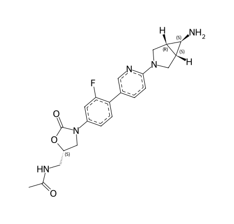 CC(=O)NC[C@H]1CN(c2ccc(-c3ccc(N4C[C@@H]5[C@@H](N)[C@@H]5C4)nc3)c(F)c2)C(=O)O1